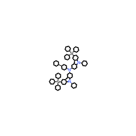 c1ccc(-c2ccc(N(c3ccc4c(c3)c3cc([Si](c5ccccc5)(c5ccccc5)c5ccccc5)ccc3n4-c3ccccc3)c3ccc4c(c3)c3cc([Si](c5ccccc5)(c5ccccc5)c5ccccc5)ccc3n4-c3ccccc3)cc2)cc1